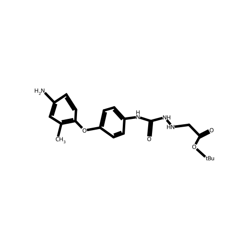 Cc1cc(N)ccc1Oc1ccc(NC(=O)NNCC(=O)OC(C)(C)C)cc1